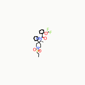 CCCS(=O)(=O)N1CCC(c2ccccc2)([C@H](C)NC(=O)c2ccccc2OC(F)F)CC1